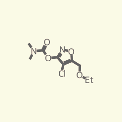 CCOCc1onc(OC(=O)N(C)C)c1Cl